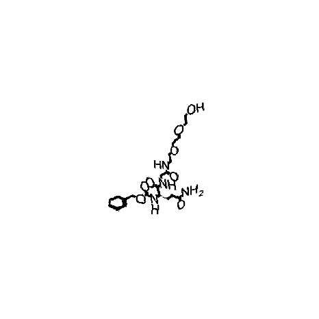 NC(=O)CC[C@H](NC(=O)OCc1ccccc1)C(=O)NCC(=O)NCCOCCOCCO